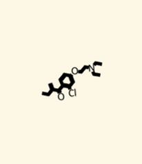 C=C(CC)C(=O)c1ccc(OCCN(CC)CC)cc1Cl